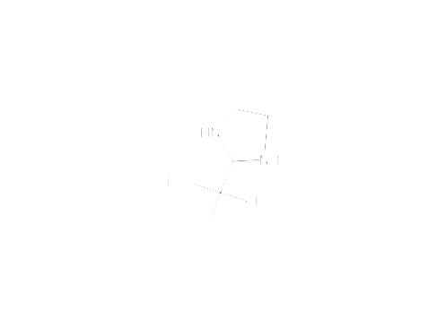 CC(C)(I)C1NCCN1